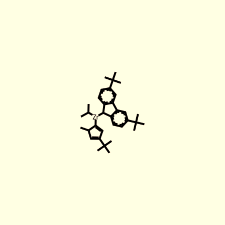 CC1C=C(C(C)(C)C)C=[C]1[Zr]([CH](C)C)[CH]1c2ccc(C(C)(C)C)cc2-c2cc(C(C)(C)C)ccc21